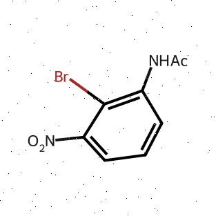 CC(=O)Nc1cccc([N+](=O)[O-])c1Br